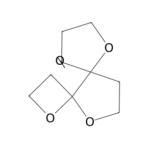 C1COC2(C1)CCOC21CCOC12CCO2